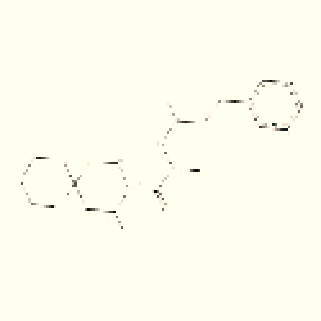 CCOC(=O)C(CCc1ccccc1)N[C@@H](C)C(=O)N1CCC2(CCCCO2)CC1C(=O)O